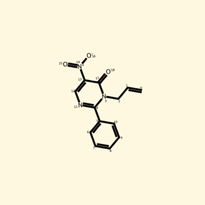 C=CCn1c(-c2ccccc2)ncc([N+](=O)[O-])c1=O